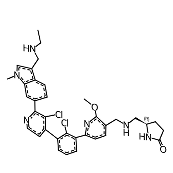 CCNCc1cn(C)c2cc(-c3nccc(-c4cccc(-c5ccc(CNC[C@H]6CCC(=O)N6)c(OC)n5)c4Cl)c3Cl)ccc12